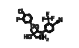 C=CC(O)(COc1ccc(Cl)c(F)c1)C(=O)Nc1ccc(C#N)c(C(F)(F)F)c1